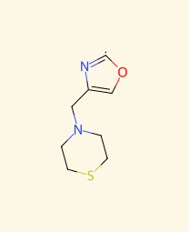 [c]1nc(CN2CCSCC2)co1